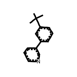 CC(C)(C)c1cc[c]c(-c2cccnc2)c1